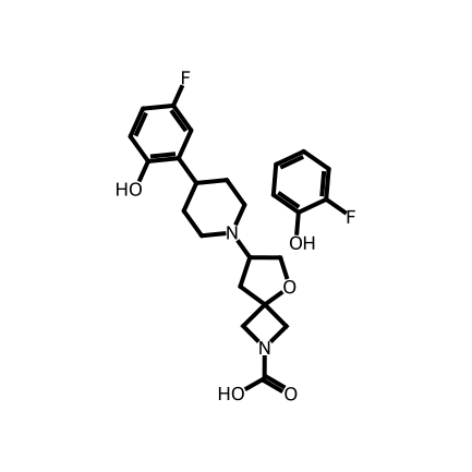 O=C(O)N1CC2(CC(N3CCC(c4cc(F)ccc4O)CC3)CO2)C1.Oc1ccccc1F